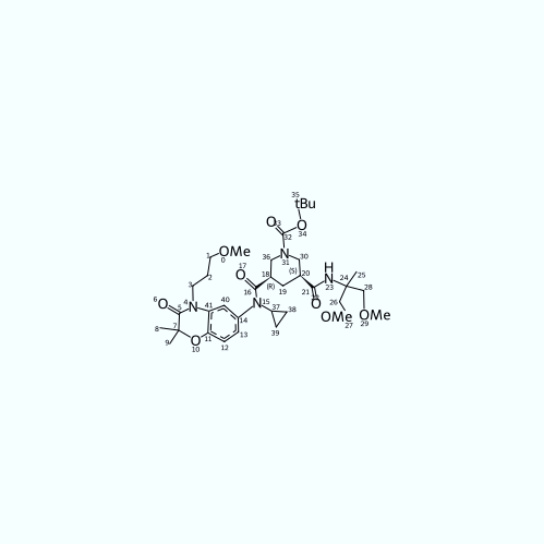 COCCCN1C(=O)C(C)(C)Oc2ccc(N(C(=O)[C@@H]3C[C@H](C(=O)NC(C)(COC)COC)CN(C(=O)OC(C)(C)C)C3)C3CC3)cc21